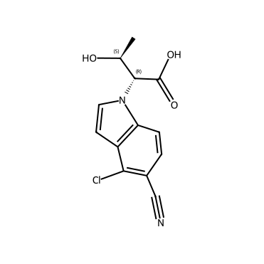 C[C@H](O)[C@H](C(=O)O)n1ccc2c(Cl)c(C#N)ccc21